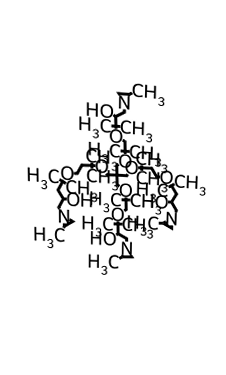 CC1CN1CC(O)CC(C)(C)OCCC(C)(C)OCC(COC(C)(C)CCOC(C)(C)CC(O)CN1CC1C)(COC(C)(C)COC(C)(C)C(O)CN1CC1C)COC(C)(C)COC(C)(C)C(O)CN1CC1C